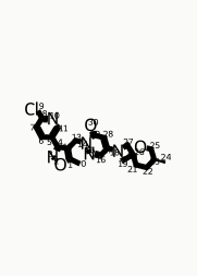 Cc1onc(-c2ccc(Cl)nc2)c1Cn1ncc(N2CC3(CC[C@H](C)CO3)C2)cc1=O